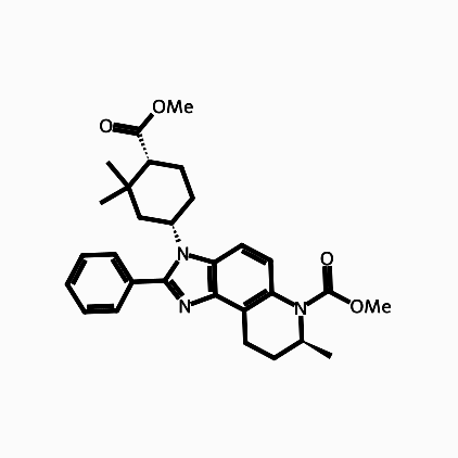 COC(=O)[C@@H]1CC[C@H](n2c(-c3ccccc3)nc3c4c(ccc32)N(C(=O)OC)[C@@H](C)CC4)CC1(C)C